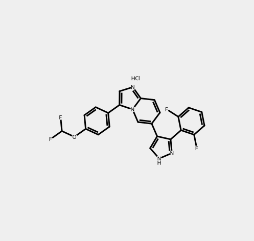 Cl.Fc1cccc(F)c1-c1n[nH]cc1-c1ccc2ncc(-c3ccc(OC(F)F)cc3)n2c1